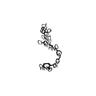 CO[C@@H](C)c1c(NC(=O)Nc2cc(Cl)cnc2OCCNC(=O)C2CCN(CC3CCN(c4cc(C5CCC(=O)NC5=O)ccn4)CC3)CC2)cnc2cc(Cl)nn12